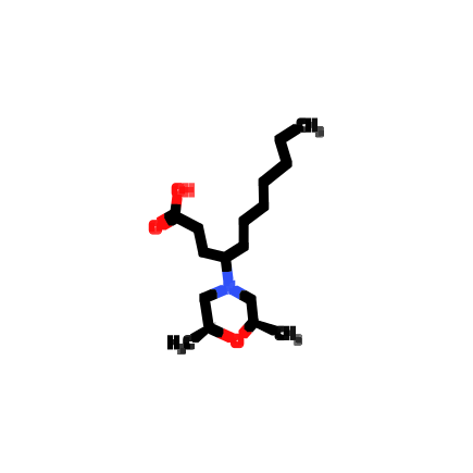 CCCCCCCC(CCC(=O)O)N1C[C@@H](C)O[C@@H](C)C1